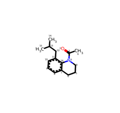 CC(=O)N1CCCc2cccc(CC(C)C)c21